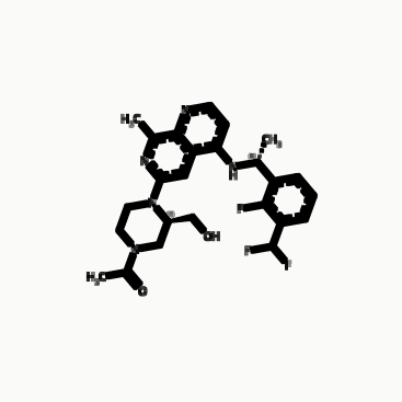 CC(=O)N1CCN(c2cc3c(N[C@H](C)c4cccc(C(F)F)c4F)ccnc3c(C)n2)[C@@H](CO)C1